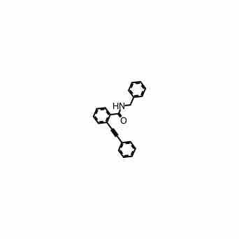 O=C(NCc1ccccc1)c1ccccc1C#Cc1ccccc1